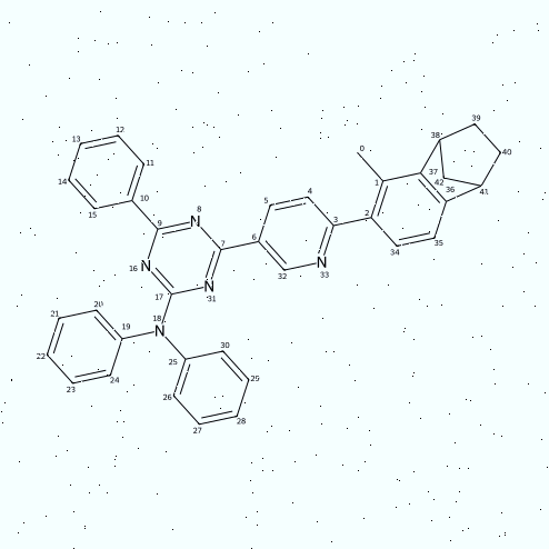 Cc1c(-c2ccc(-c3nc(-c4ccccc4)nc(N(c4ccccc4)c4ccccc4)n3)cn2)ccc2c1C1CCC2C1